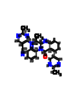 Cc1ncc(-c2cccc3nc([C@H](C)Nc4nc(C)ncc4C#N)n(-c4ccccc4)c(=O)c23)cn1